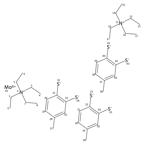 CC[N+](CC)(CC)CC.CC[N+](CC)(CC)CC.Cc1ccc([S-])c([S-])c1.Cc1ccc([S-])c([S-])c1.Cc1ccc([S-])c([S-])c1.[Mo+6]